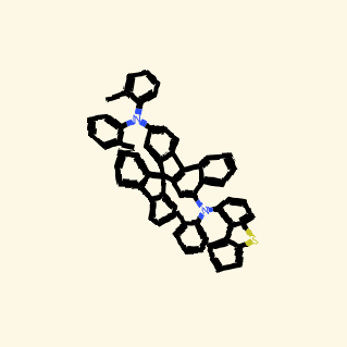 Cc1ccccc1N(c1ccc2c(c1)C1(c3ccccc3-c3ccccc31)c1cc(N(c3ccccc3C)c3cccc4sc5ccccc5c34)c3ccccc3c1-2)c1ccccc1C